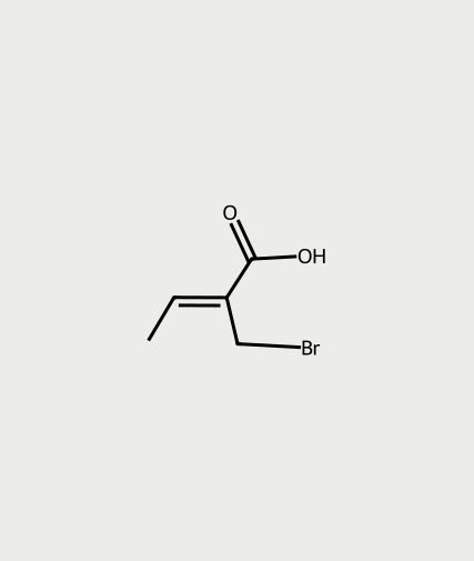 CC=C(CBr)C(=O)O